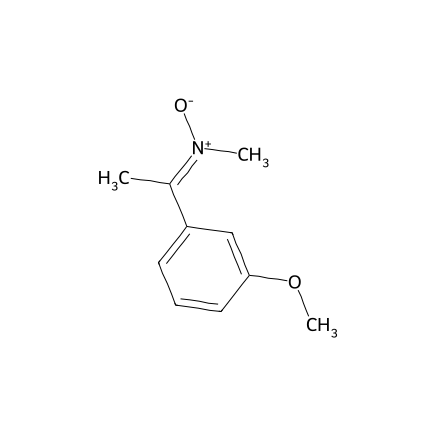 COc1cccc(/C(C)=[N+](\C)[O-])c1